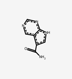 NC(=O)c1c[nH]c2ncncc12